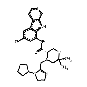 CC1(C)CN(CC2=NCCN2C2CCCC2)[C@H](C(=O)Nc2cc(Cl)cc3c2[nH]c2cnccc23)CO1